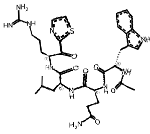 CC(=O)N[C@@H](Cc1c[nH]c2ccccc12)C(=O)N[C@@H](CCC(N)=O)C(=O)N[C@@H](CC(C)C)C(=O)N[C@@H](CCCNC(=N)N)C(=O)c1nccs1